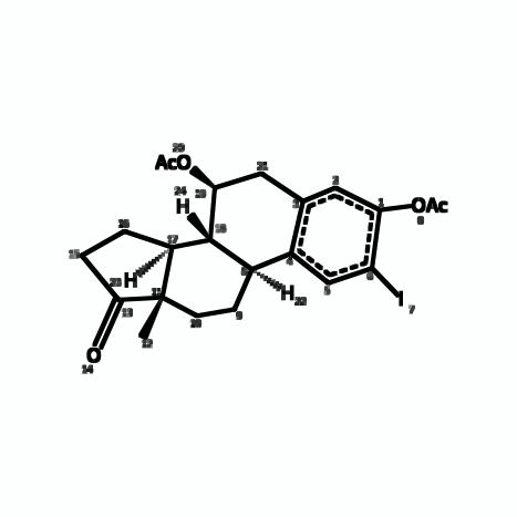 CC(=O)Oc1cc2c(cc1I)[C@H]1CC[C@]3(C)C(=O)CC[C@H]3[C@@H]1[C@@H](OC(C)=O)C2